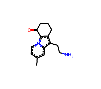 Cc1ccn2c3c(c(CCN)c2c1)CCCC3=O